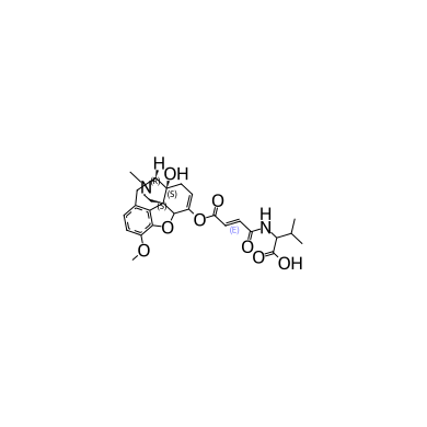 COc1ccc2c3c1OC1C(OC(=O)/C=C/C(=O)NC(C(=O)O)C(C)C)=CC[C@@]4(O)[C@@H](C2)N(C)CC[C@]314